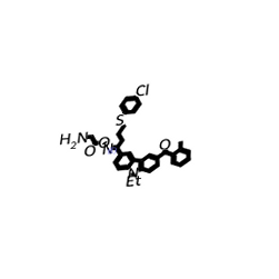 CCn1c2ccc(C(=O)c3ccccc3C)cc2c2cc(/C(CCCSc3ccc(Cl)cc3)=N/OC(=O)CN)ccc21